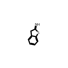 N=C1Cc2ccccc2S1